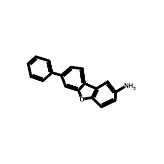 Nc1ccc2oc3cc(-c4ccccc4)ccc3c2c1